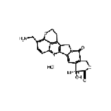 CC[C@@]1(O)C(=O)OCc2c1cc1n(c2=O)Cc2c-1nc1ccc(CN)c3c1c2CCS3.Cl